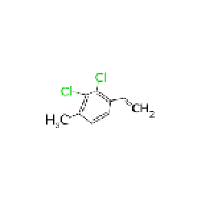 C=Cc1ccc(C)c(Cl)c1Cl